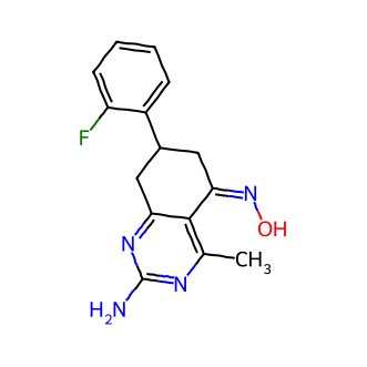 Cc1nc(N)nc2c1/C(=N\O)CC(c1ccccc1F)C2